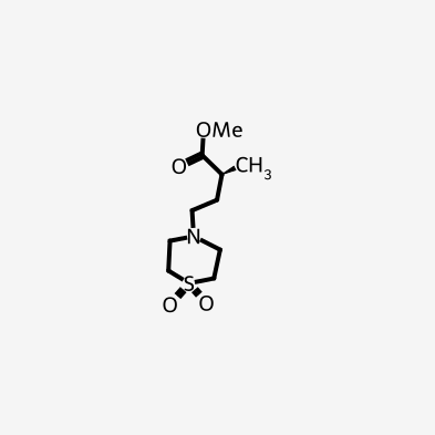 COC(=O)[C@@H](C)CCN1CCS(=O)(=O)CC1